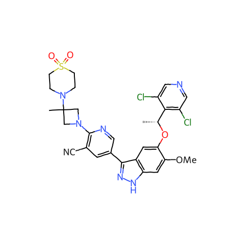 COc1cc2[nH]nc(-c3cnc(N4CC(C)(N5CCS(=O)(=O)CC5)C4)c(C#N)c3)c2cc1O[C@H](C)c1c(Cl)cncc1Cl